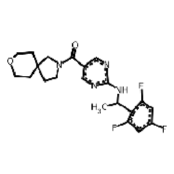 CC(Nc1ncc(C(=O)N2CCC3(CCOCC3)C2)cn1)c1c(F)cc(F)cc1F